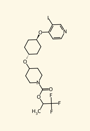 CC(OC(=O)N1CCC(O[C@H]2CC[C@H](Oc3ccncc3I)CC2)CC1)C(F)(F)F